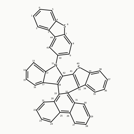 c1ccc2c(c1)sc1ccc(-n3c4ccccc4c4c5c6ccccc6c6ccccc6c5c5c6ccccc6sc5c43)cc12